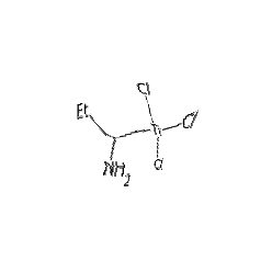 CC[CH](N)[Ti]([Cl])([Cl])[Cl]